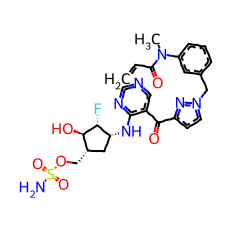 C=CC(=O)N(C)c1cccc(Cn2ccc(C(=O)c3cncnc3N[C@@H]3C[C@H](COS(N)(=O)=O)[C@@H](O)[C@@H]3F)n2)c1